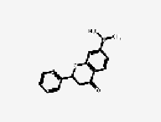 CN(C)c1ccc2c(c1)OC(c1ccccc1)CC2=O